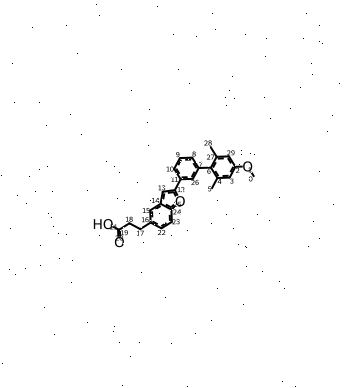 COc1cc(C)c(-c2cccc(-c3cc4cc(CCC(=O)O)ccc4o3)c2)c(C)c1